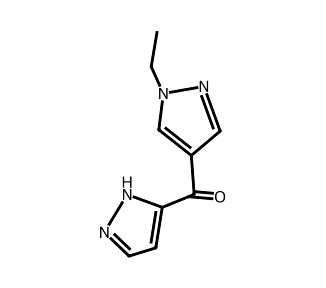 CCn1cc(C(=O)c2ccn[nH]2)cn1